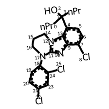 CCCC(O)(CCC)c1ccc(Cl)c2nc3n(c12)CCCN3c1ccc(Cl)cc1Cl